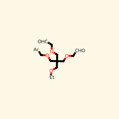 CCOCC(COCC=O)(COCC=O)COCC(C)=O